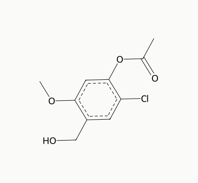 COc1cc(OC(C)=O)c(Cl)cc1CO